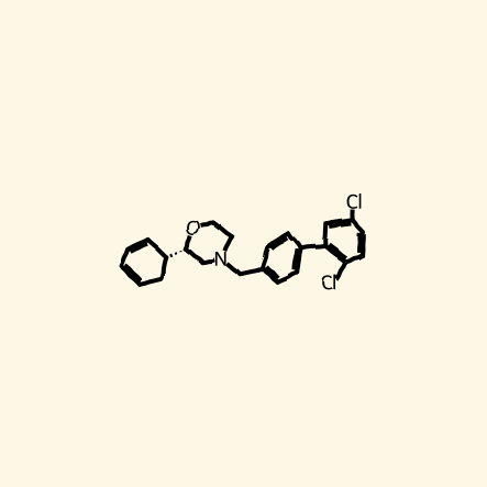 Clc1ccc(Cl)c(-c2ccc(CN3CCO[C@@H](C4C=CC=CC4)C3)cc2)c1